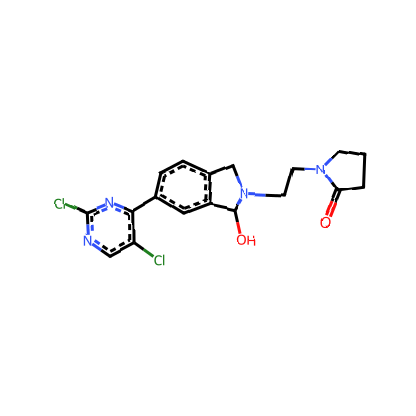 O=C1CCCN1CCN1Cc2ccc(-c3nc(Cl)ncc3Cl)cc2C1O